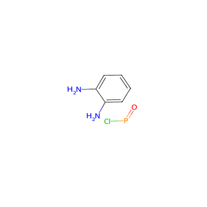 Nc1ccccc1N.O=PCl